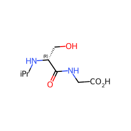 CC(C)N[C@H](CO)C(=O)NCC(=O)O